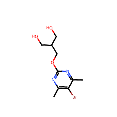 Cc1nc(OCC(CO)CO)nc(C)c1Br